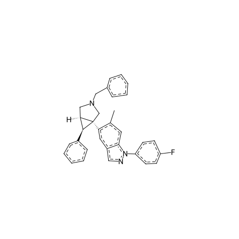 Cc1cc2c(cnn2-c2ccc(F)cc2)cc1[C@@]12CN(Cc3ccccc3)C[C@@H]1[C@@H]2c1ccccc1